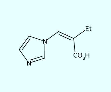 CCC(=Cn1ccnc1)C(=O)O